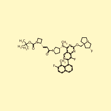 Cc1c(F)ccc2cccc(-c3ncc4c(N(C)[C@@H]5CCN(C(=O)/C=C/[C@H]6CCN6C(=O)OC(C)(C)C)C5)nc(OC[C@@]56CCCN5C[C@H](F)C6)nc4c3F)c12